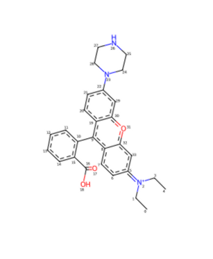 CC[N+](CC)=c1ccc2c(-c3ccccc3C(=O)O)c3ccc(N4CCNCC4)cc3oc-2c1